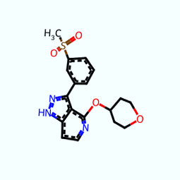 CS(=O)(=O)c1cccc(-c2n[nH]c3ccnc(OC4CCOCC4)c23)c1